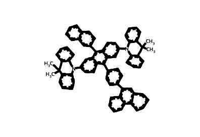 CC1(C)c2ccccc2N(c2ccc3c(-c4ccc5ccccc5c4)c4cc(N5c6ccccc6C(C)(C)c6ccccc65)ccc4c(-c4ccc(-c5cc6ccccc6c6ccccc56)cc4)c3c2)c2ccccc21